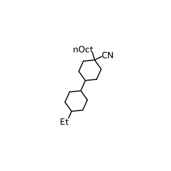 CCCCCCCCC1(C#N)CCC(C2CCC(CC)CC2)CC1